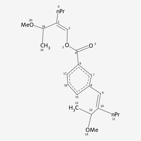 CCCC(=COC(=O)c1[c]c(C=C(CCC)C(C)OC)ccc1)C(C)OC